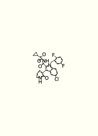 O=C(NS(=O)(=O)C1CC1)c1c(-c2ccc[nH]c2=O)c2cc(Cl)ccc2n1Cc1cc(F)ccc1F